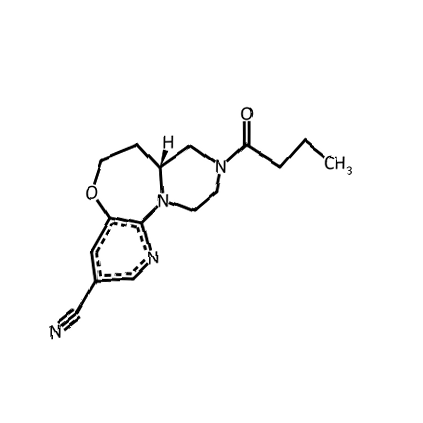 CCCC(=O)N1CCN2c3ncc(C#N)cc3OCC[C@@H]2C1